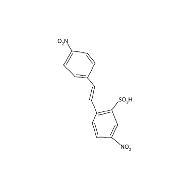 O=[N+]([O-])c1ccc(C=Cc2ccc([N+](=O)[O-])cc2S(=O)(=O)O)cc1